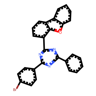 Brc1ccc(-c2nc(-c3ccccc3)nc(-c3cccc4c3oc3ccccc34)n2)cc1